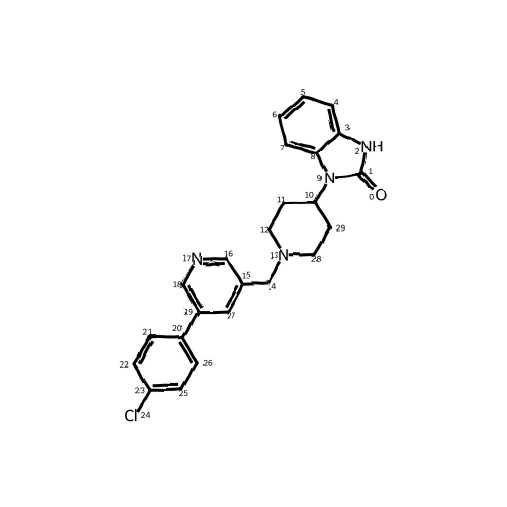 O=c1[nH]c2ccccc2n1C1CCN(Cc2cncc(-c3ccc(Cl)cc3)c2)CC1